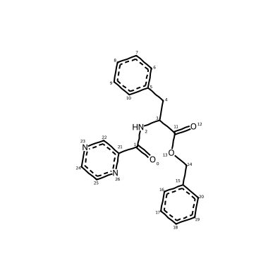 O=C(NC(Cc1ccccc1)C(=O)OCc1ccccc1)c1cnccn1